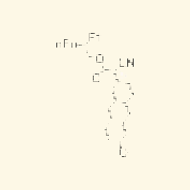 CCCCC(CC)COC(=O)/C(C#N)=c1/ccc2cc3c(cc2c1)C=CC(=O)C=3